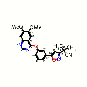 COc1cc2ncnc(Oc3cccc(-c4cc(C(C)(C)C#N)no4)c3)c2cc1OC